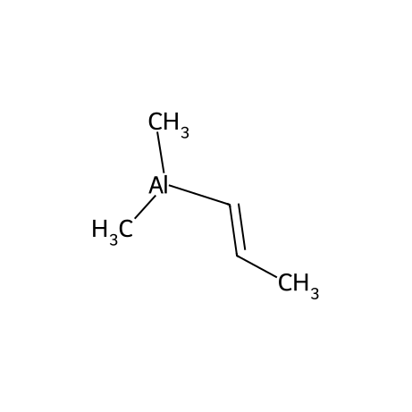 CC=[CH][Al]([CH3])[CH3]